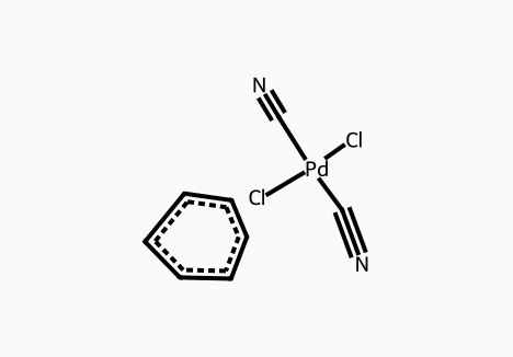 N#[C][Pd]([Cl])([Cl])[C]#N.c1ccccc1